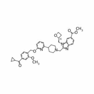 COC(=O)c1ccc2nc(CN3CCC(c4cccc(OCc5ccc(C(=O)C6CC6)cc5OC)n4)CC3)n(C[C@@H]3CCO3)c2c1